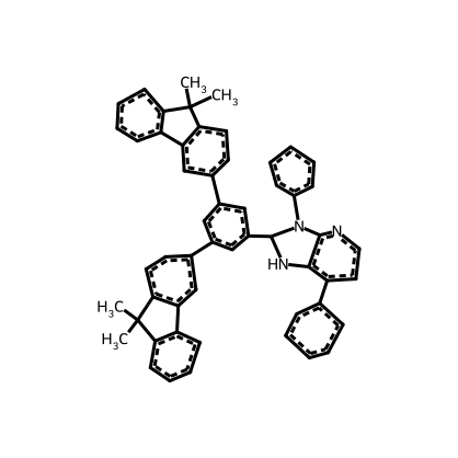 CC1(C)c2ccccc2-c2cc(-c3cc(-c4ccc5c(c4)-c4ccccc4C5(C)C)cc(C4Nc5c(-c6ccccc6)ccnc5N4c4ccccc4)c3)ccc21